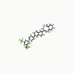 FC(F)(F)c1cc(-c2ccc(-c3ccc4cc(/C5=C/C=c6/cccc/c6=C/CC5)ccc4c3)cc2)cc(C(F)(F)F)c1